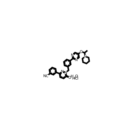 CC(Oc1cnc(-c2cccc(Cn3nc(-c4cccc(C#N)c4)ccc3=O)c2)nc1)N1CCCCC1.Cl.O